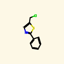 ClCc1[c]nc(-c2ccccc2)s1